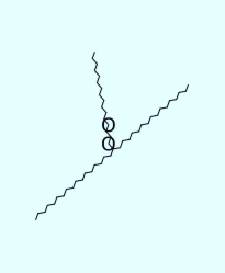 CCCCCCCCCCCCCCCCCC(CCCCCCCCCCCCCCCC)OCCOCCCCCCCCCCCC